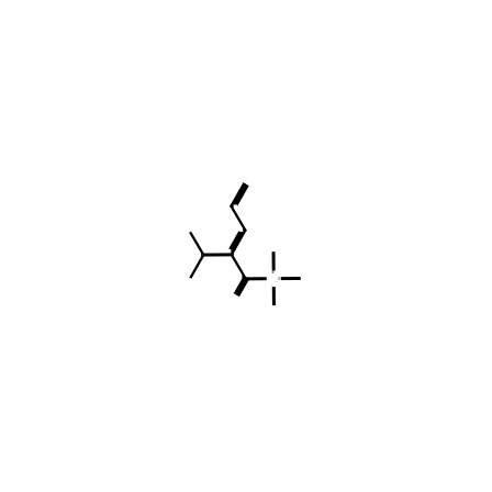 C=C/C=C(/C(=O)[Si](C)(C)C)C(C)C